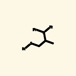 CCSCC(C)N(CC)C(C)C